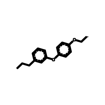 [CH2]COc1ccc(Oc2cccc(CCC)c2)cc1